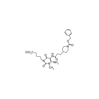 CCOC(=O)CCCCn1c(=O)c(NC(=O)CCC2CCN(C(=O)OCc3ccccc3)CC2)c(N)n(C)c1=O